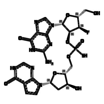 Nc1nc2c(ncn2[C@@H]2O[C@H](CO)[C@@H](F)[C@H]2OP(=O)(S)OC[C@H]2O[C@@H](n3ccc4c(=O)[nH]cnc43)C[C@@H]2O)c(=O)[nH]1